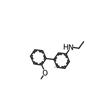 CCNc1cc[c]c(-c2ccccc2OC)c1